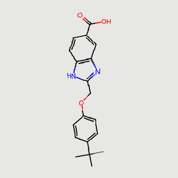 CC(C)(C)c1ccc(OCc2nc3cc(C(=O)O)ccc3[nH]2)cc1